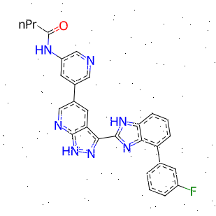 CCCC(=O)Nc1cncc(-c2cnc3[nH]nc(-c4nc5c(-c6cccc(F)c6)cccc5[nH]4)c3c2)c1